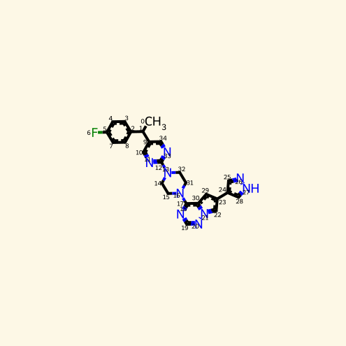 CC(c1ccc(F)cc1)c1cnc(N2CCN(c3ncnn4cc(-c5cn[nH]c5)cc34)CC2)nc1